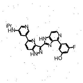 CC(C)Nc1cncc(-c2ccc3[nH]nc(-c4nc5c(-c6cc(O)cc(F)c6)nccc5[nH]4)c3n2)c1